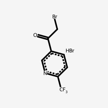 Br.O=C(CBr)c1ccc(C(F)(F)F)nc1